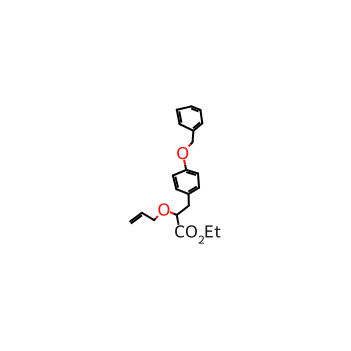 C=CCOC(Cc1ccc(OCc2ccccc2)cc1)C(=O)OCC